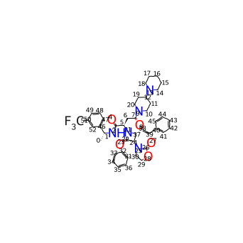 C[C@@H](NC(=O)[C@@H](CC(=O)N1CCC(N2CCCCC2)CC1)N1C(=O)[C@@H](N2C(=O)OC[C@@H]2c2ccccc2)[C@H]1/C=C/c1ccccc1)c1cccc(C(F)(F)F)c1